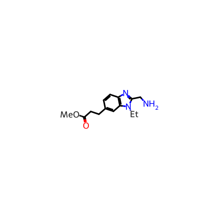 CCn1c(CN)nc2ccc(CCC(=O)OC)cc21